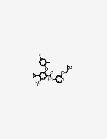 Cc1cc(F)ccc1Oc1cc(C2CC2)c(C(F)(F)F)cc1C(=O)Nc1ccnc(OCC2CO2)c1